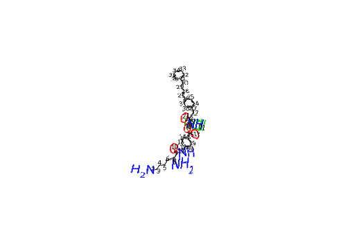 Cl.Cl.NCCCCC(N)C(=O)Nc1ccc(C(=O)ONC(=O)Cc2ccc(CCCCc3ccccc3)cc2)cc1